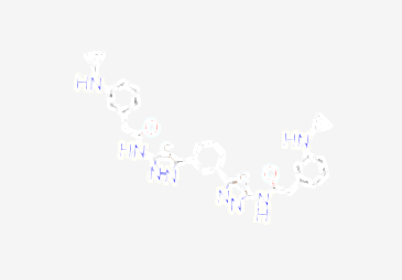 O=C(Cc1cccc(NC2CC2)c1)Nc1nnc([C@H]2CCC[C@H](c3nnc(NC(=O)Cc4cccc(NC5CC5)c4)s3)C2)s1